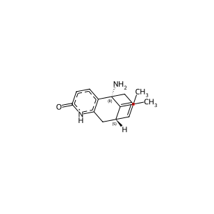 CC=C1[C@@H]2C=C(C)C[C@]1(N)c1ccc(=O)[nH]c1C2